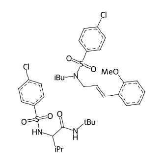 CC(C)C(NS(=O)(=O)c1ccc(Cl)cc1)C(=O)NC(C)(C)C.CCC(C)N(CC=Cc1ccccc1OC)S(=O)(=O)c1ccc(Cl)cc1